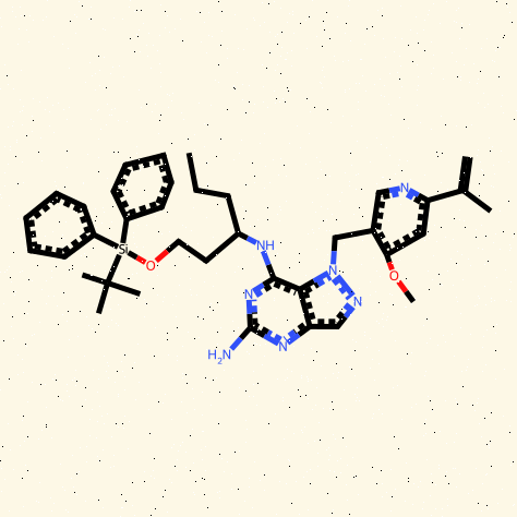 C=C(C)c1cc(OC)c(Cn2ncc3nc(N)nc(NC(CCC)CCO[Si](c4ccccc4)(c4ccccc4)C(C)(C)C)c32)cn1